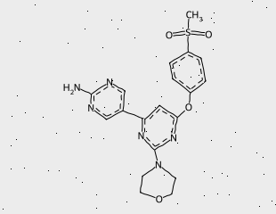 CS(=O)(=O)c1ccc(Oc2cc(-c3cnc(N)nc3)nc(N3CCOCC3)n2)cc1